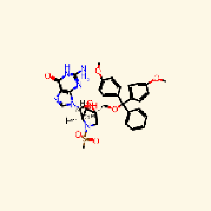 COc1ccc(C(OC[C@@]23CN(S(C)(=O)=O)[C@@H]([C@H](n4cnc5c(=O)[nH]c(N)nc54)O2)[C@@H]3O)(c2ccccc2)c2ccc(OC)cc2)cc1